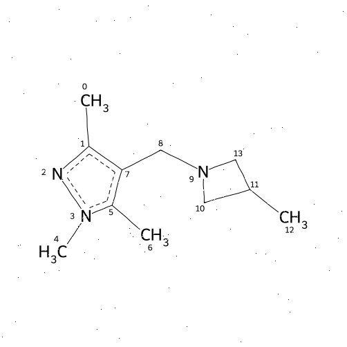 Cc1nn(C)c(C)c1CN1CC(C)C1